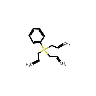 C=CCS(CC=C)(CC=C)c1ccccc1